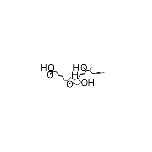 CC#CCC(C)[C@H](O)/C=C/[C@H]1[C@H](O)CC2O[C@@H](CCCCC(=O)O)C[C@@H]21